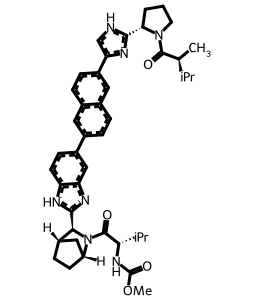 COC(=O)N[C@H](C(=O)N1[C@@H]2CC[C@@H](C2)[C@H]1c1nc2cc(-c3ccc4cc(-c5c[nH]c([C@@H]6CCCN6C(=O)[C@@H](C)C(C)C)n5)ccc4c3)ccc2[nH]1)C(C)C